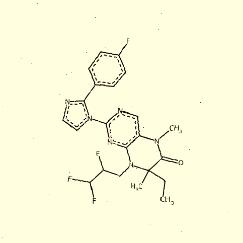 CCC1(C)C(=O)N(C)c2cnc(-n3ccnc3-c3ccc(F)cc3)nc2N1CC(F)C(F)F